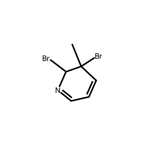 CC1(Br)C=CC=NC1Br